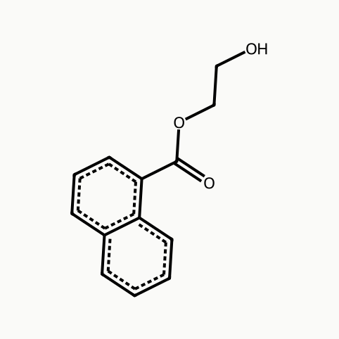 O=C(OCCO)c1cccc2ccccc12